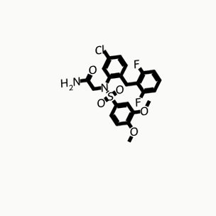 COc1ccc(S(=O)(=O)N(CC(N)=O)c2cc(Cl)ccc2Cc2c(F)cccc2F)cc1OC